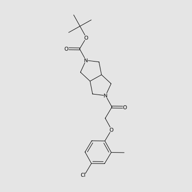 Cc1cc(Cl)ccc1OCC(=O)N1CC2CN(C(=O)OC(C)(C)C)CC2C1